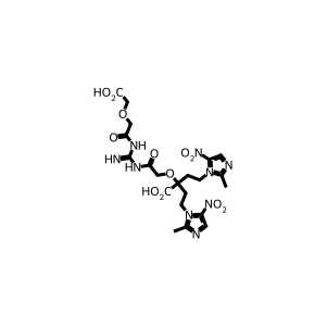 Cc1ncc([N+](=O)[O-])n1CCC(CCn1c([N+](=O)[O-])cnc1C)(OCC(=O)NC(=N)NC(=O)COCC(=O)O)C(=O)O